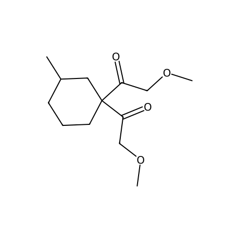 COCC(=O)C1(C(=O)COC)CCCC(C)C1